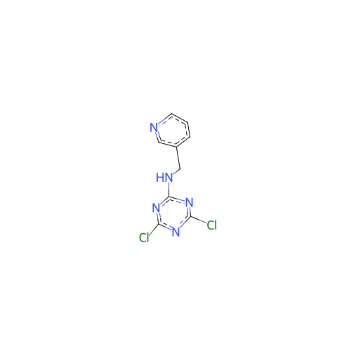 Clc1nc(Cl)nc(NCc2cccnc2)n1